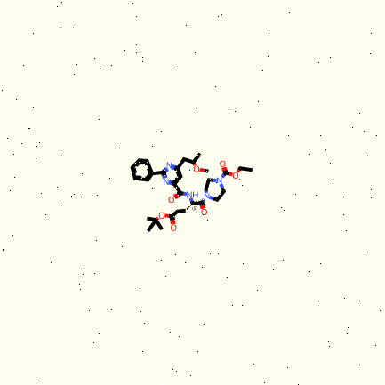 CCOC(=O)N1CCN(C(=O)[C@H](CCC(=O)OC(C)(C)C)NC(=O)c2cc(CC(C)OC)nc(-c3ccccc3)n2)CC1